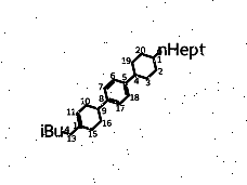 CCCCCCCC1CCC(c2ccc(C3CC=C(CC(C)CC)CC3)cc2)CC1